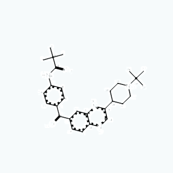 CC(C)(C)C(=O)Nc1ccc(C(=O)c2ccc3ncc(C4CCN(C(C)(C)C)CC4)nc3c2)cc1